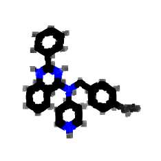 COc1ccc(CN(c2ccncc2)c2nc(-c3ccccc3)nc3ccccc23)cc1